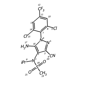 CC(C)N(c1c(C#N)nn(-c2c(Cl)cc(C(F)(F)F)cc2Cl)c1N)S(C)(=O)=O